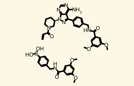 C=CC(=O)N1CCC[C@@H](n2nc(-c3ccc(CNC(=O)c4cc(OC)cc(OC)c4)cc3)c3c(N)ncnc32)C1.COc1cc(OC)cc(C(=O)NCc2ccc(B(O)O)cc2)c1